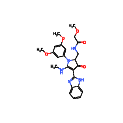 CNC1=C(c2nc3ccccc3[nH]2)C(=O)C(CNC(=O)COC)N1c1cc(OC)cc(OC)c1